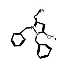 Cc1cc(OC(C)C)[n+](Cc2ccccc2)n1Cc1ccccc1